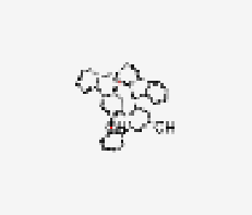 Oc1cc(C2(c3cc(O)cc4c3ccc3ccccc34)c3ccccc3-c3ccccc32)c2ccc3ccccc3c2c1